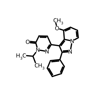 COc1cccn2nc(-c3ccccc3)c(-c3ccc(=O)n(C(C)C)n3)c12